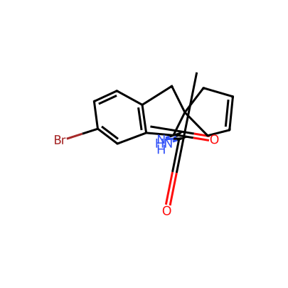 O=C1NC(=O)C2(N1)c1cc(Br)ccc1CC21CC=CC1